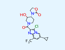 O=C(c1nc2c(C(F)(F)F)cc(C3CC3)cn2c1Cl)N1CC[C@@H](N2CCOC2=O)[C@H](O)C1